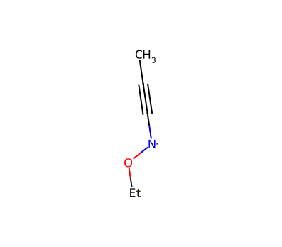 CC#C[N]OCC